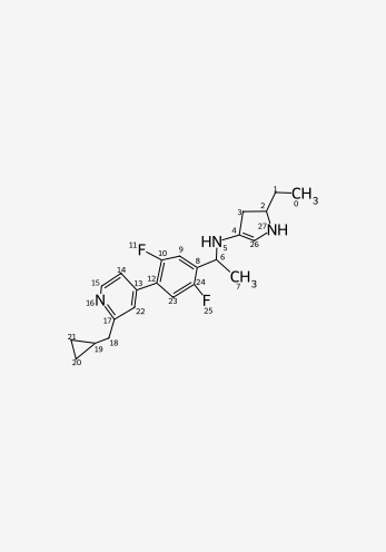 CCC1CC(NC(C)c2cc(F)c(-c3ccnc(CC4CC4)c3)cc2F)=CN1